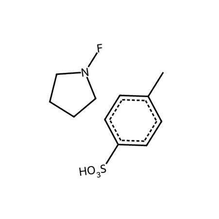 Cc1ccc(S(=O)(=O)O)cc1.FN1CCCC1